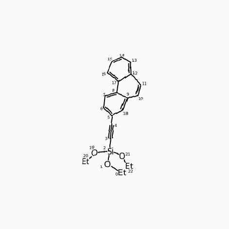 CCO[Si](C#Cc1ccc2c(ccc3ccccc32)c1)(OCC)OCC